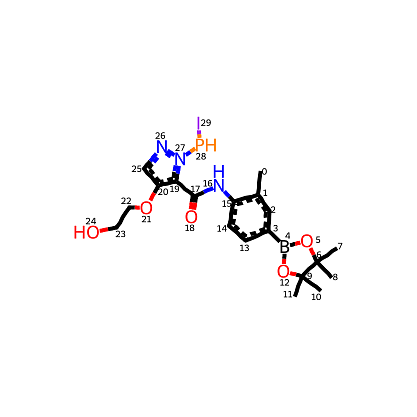 Cc1cc(B2OC(C)(C)C(C)(C)O2)ccc1NC(=O)c1c(OCCO)cnn1PI